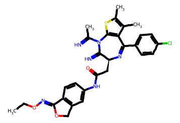 CCO/N=C1\OCc2cc(NC(=O)C[C@@H]3N=C(c4ccc(Cl)cc4)c4c(sc(C)c4C)N(C(C)=N)C3=N)ccc21